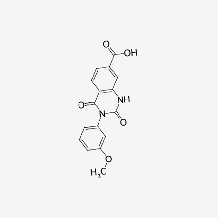 COc1cccc(-n2c(=O)[nH]c3cc(C(=O)O)ccc3c2=O)c1